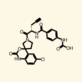 C#CC[C@H](NC(=O)c1ccc(NC(=O)O)cc1)C(=O)N1CCC2(C1)OC(=O)Nc1ccc(Cl)cc12